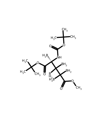 BC(B)(C(=O)OC)C(B)(B)[C@](B)(NC(=O)OC(C)(C)C)C(=O)OC(C)(C)C